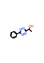 CC(O)c1nnc(-c2ccccc2)nn1